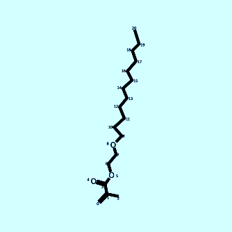 C=C(C)C(=O)OCCOCCCCCCCCCCCC